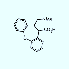 CNCC1c2ccccc2Oc2ccccc2C1C(=O)O